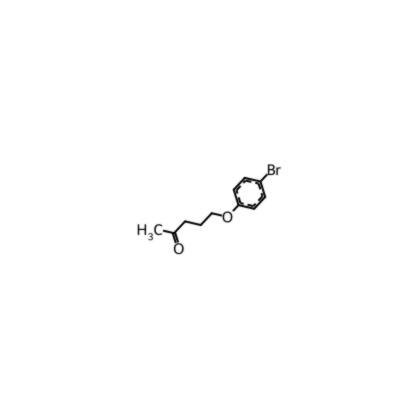 CC(=O)CCCOc1ccc(Br)cc1